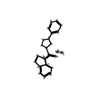 Cl.Cl.O=C(C1CSN(c2cccnc2)C1)n1ccc2ccccc21